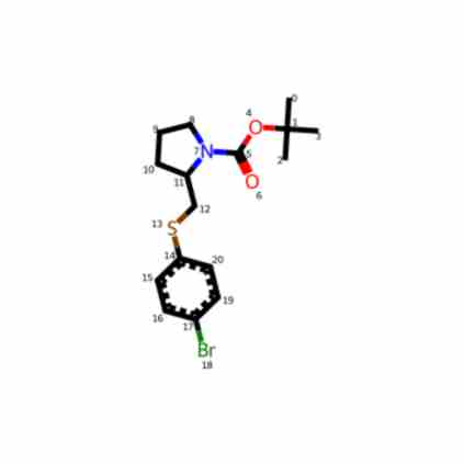 CC(C)(C)OC(=O)N1CCCC1CSc1ccc(Br)cc1